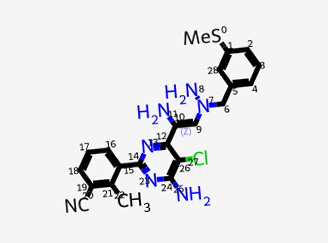 CSc1cccc(CN(N)/C=C(\N)c2nc(-c3cccc(C#N)c3C)nc(N)c2Cl)c1